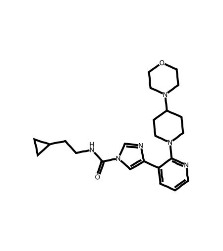 O=C(NCCC1CC1)n1cnc(-c2cccnc2N2CCC(N3CCOCC3)CC2)c1